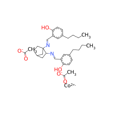 CC(=O)[O-].CC(=O)[O-].CCCCc1ccc(O)c(C=NC2CC3CCC2(N=Cc2cc(CCCC)ccc2O)C3)c1.[Co+2]